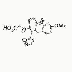 COc1ccc(Cc2c(Br)ccc(OCC(=O)O)c2-c2ncno2)cc1